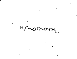 C/C=C/CCC1=CCC(C2CCC(CCc3ccc(CCC)cc3)CC2)CC1